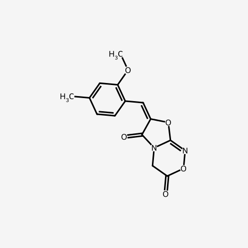 COc1cc(C)ccc1/C=c1/oc2n(c1=O)CC(=O)ON=2